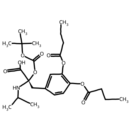 CCCC(=O)Oc1ccc(C[C@](NC(C)C)(OC(=O)OC(C)(C)C)C(=O)O)cc1OC(=O)CCC